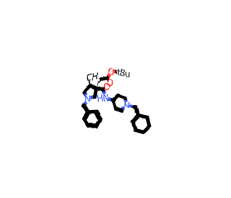 C[C@H]1CN(Cc2ccccc2)C[C@]1(CC(=O)OC(C)(C)C)C(=O)NC1CCN(CC2CCCCC2)CC1